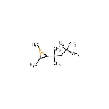 CC1C(C(C)(C)CC(C)(C)C)P1C